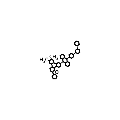 Cc1cc2c3cc(-c4c5ccccc5c(-c5ccc(-c6cccc(-c7ccccc7)c6)cc5)c5ccccc45)ccc3c3c(ccc4c5ccccc5oc43)c2cc1C